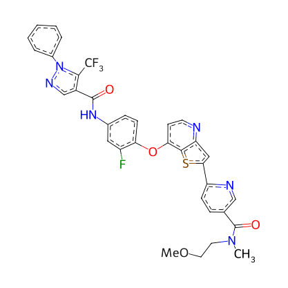 COCCN(C)C(=O)c1ccc(-c2cc3nccc(Oc4ccc(NC(=O)c5cnn(-c6ccccc6)c5C(F)(F)F)cc4F)c3s2)nc1